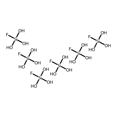 O[Si](O)(O)F.O[Si](O)(O)F.O[Si](O)(O)F.O[Si](O)(O)F.O[Si](O)(O)F.O[Si](O)(O)F